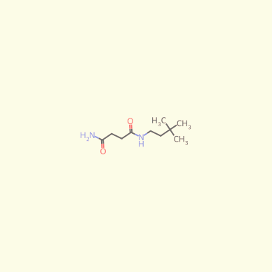 CC(C)(C)CCNC(=O)CCC(N)=O